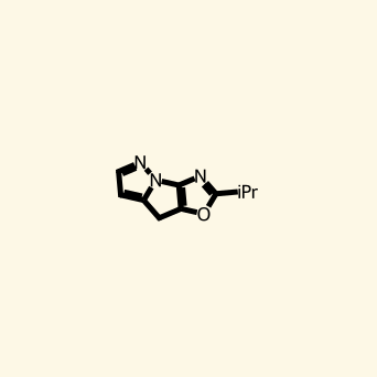 CC(C)c1nc2c(o1)Cc1ccnn1-2